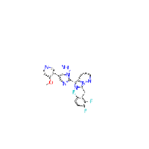 COc1ccncc1-c1cnc(-c2nc(Cc3c(F)ccc(F)c3F)n3ncccc23)nc1N